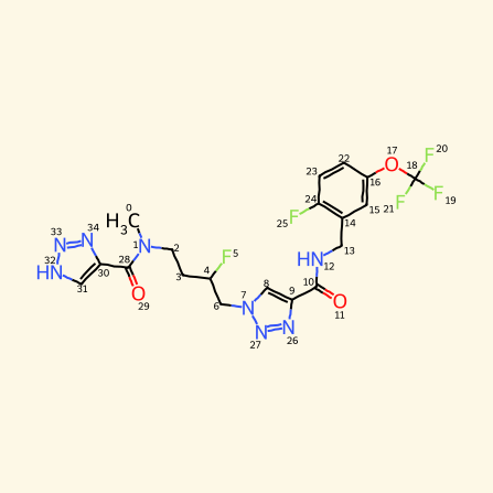 CN(CCC(F)Cn1cc(C(=O)NCc2cc(OC(F)(F)F)ccc2F)nn1)C(=O)c1c[nH]nn1